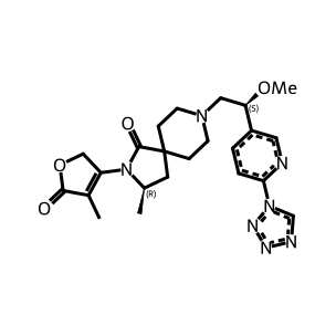 CO[C@H](CN1CCC2(CC1)C[C@@H](C)N(C1=C(C)C(=O)OC1)C2=O)c1ccc(-n2cnnn2)nc1